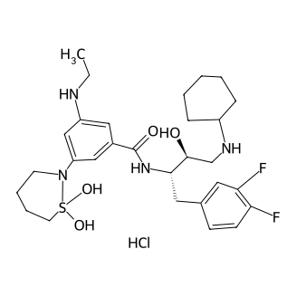 CCNc1cc(C(=O)N[C@@H](Cc2ccc(F)c(F)c2)[C@@H](O)CNC2CCCCC2)cc(N2CCCCS2(O)O)c1.Cl